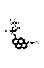 CCOc1ccc2ccc3ccc(CNC(C)(CO)COS(C)(=O)=O)c4ccc1c2c34